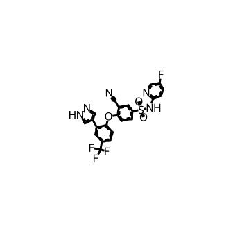 N#Cc1cc(S(=O)(=O)Nc2ccc(F)cn2)ccc1Oc1ccc(C(F)(F)F)cc1-c1cn[nH]c1